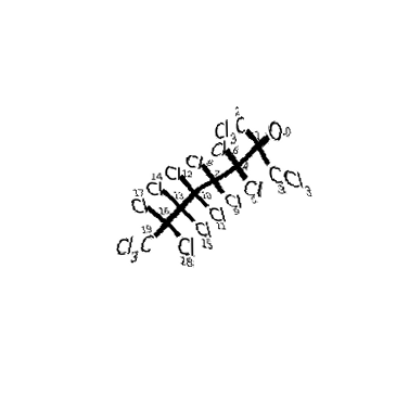 [O]C(C(Cl)(Cl)Cl)(C(Cl)(Cl)Cl)C(Cl)(Cl)C(Cl)(Cl)C(Cl)(Cl)C(Cl)(Cl)C(Cl)(Cl)C(Cl)(Cl)Cl